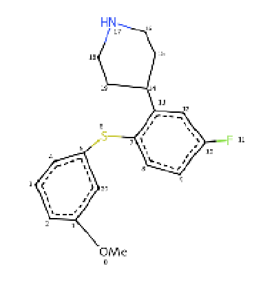 COc1cccc(Sc2ccc(F)cc2C2CCNCC2)c1